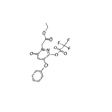 CCOC(=O)Cn1nc(OS(=O)(=O)C(F)(F)F)c(Oc2ccccc2)cc1=O